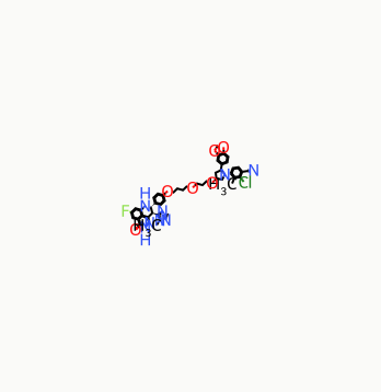 Cc1c(N2CC(OCCCOCCCCOc3ccc([C@H]4Nc5cc(F)cc6c(=O)[nH]nc(c56)[C@@H]4c4ncnn4C)cc3)CC2c2ccc3c(c2)OCO3)ccc(C#N)c1Cl